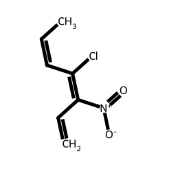 C=C/C(=C(Cl)\C=C/C)[N+](=O)[O-]